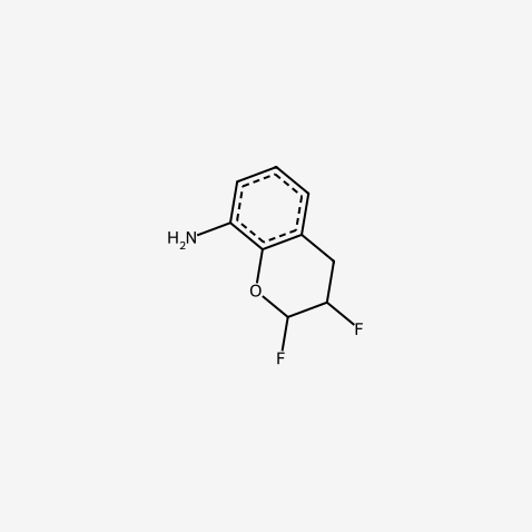 Nc1cccc2c1OC(F)C(F)C2